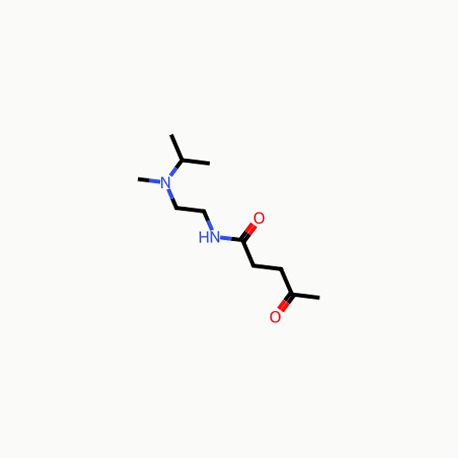 CC(=O)CCC(=O)NCCN(C)C(C)C